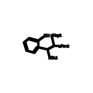 CCCCCCCCC(c1ccccc1O)C(CCCCC)CCCCCCC